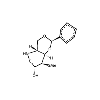 CS[C@@H]1[C@@H]2O[C@H](c3ccccc3)OC[C@H]2NC[C@H]1O